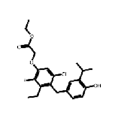 CCOC(=O)COc1cc(Cl)c(Cc2ccc(O)c(C(C)C)c2)c(CC)c1F